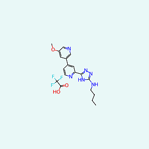 CCCCNc1nnc(-c2cc(-c3cncc(OC)c3)ccn2)[nH]1.O=C(O)C(F)(F)F